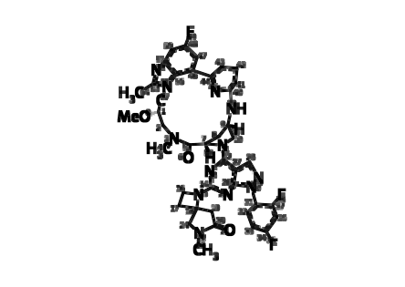 CO[C@H]1CN(C)C(=O)[C@@H]2C[C@@H](CN2c2nc(N3CCC34CC(=O)N(C)C4)nc3c2cnn3-c2ccc(F)cc2F)Nc2cccc(n2)-c2cc(F)cc3nc(C)n(c23)C1